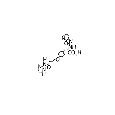 O=C(CCCOc1ccc(C[C@H](Nc2nc3cccnc3o2)C(=O)O)cc1)NC1=NCCCN1